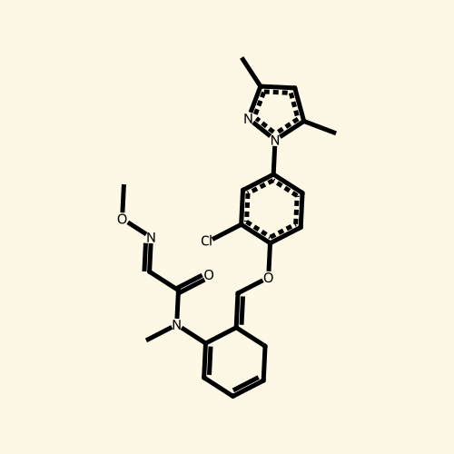 CON=CC(=O)N(C)C1=CC=CCC1=COc1ccc(-n2nc(C)cc2C)cc1Cl